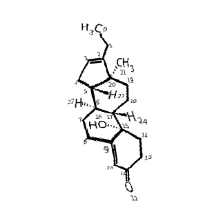 CCC1=CC[C@H]2[C@@H]3CCC4=CC(=O)CC[C@]4(O)[C@H]3CC[C@]12C